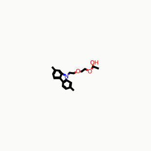 Cc1ccc2c3ccc(C)cc3n(CCOCCOC(C)O)c2c1